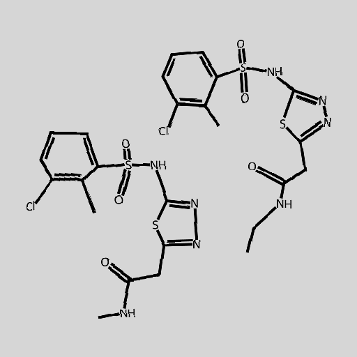 CCNC(=O)Cc1nnc(NS(=O)(=O)c2cccc(Cl)c2C)s1.CNC(=O)Cc1nnc(NS(=O)(=O)c2cccc(Cl)c2C)s1